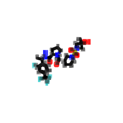 CC(NC(=O)[C@H]1CCCN1C(=O)[C@H]1CCCN(S(=O)(=O)N2CC(C)(O)C2)C1)c1ccc(C(F)(F)F)cc1F